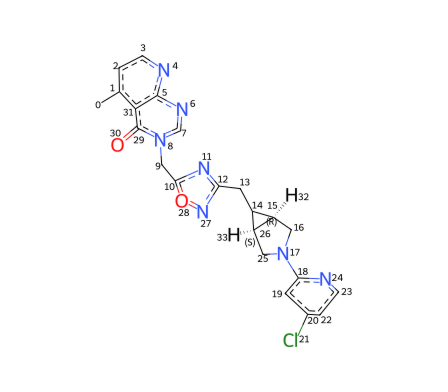 Cc1ccnc2ncn(Cc3nc(CC4[C@H]5CN(c6cc(Cl)ccn6)C[C@@H]45)no3)c(=O)c12